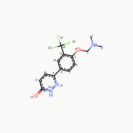 CN(C)COc1ccc(-c2ccc(=O)[nH]n2)cc1C(F)(F)F